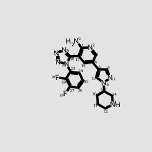 Nc1ncc(-c2cnn(C3CCCNC3)c2)cc1-c1nnnn1-c1cccc(F)c1F